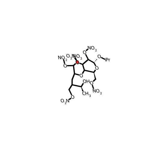 CC(C)O[C@@H]1O[C@@H](CO[N+](=O)[O-])C(OC(CC(CO[N+](=O)[O-])[C@H](C)O)C(O[N+](=O)[O-])O[N+](=O)[O-])C(O[N+](=O)[O-])C1O[N+](=O)[O-]